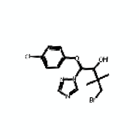 CC(C)(CBr)C(O)C(Oc1ccc(Cl)cc1)n1cncn1